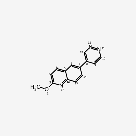 COc1ccc2cc(-c3ccnnc3)ccc2n1